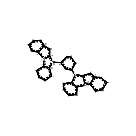 c1cc(-n2c3ccccc3n3c4ccccc4cc23)cc(-n2c3ccccc3n3c4ccccc4cc23)c1